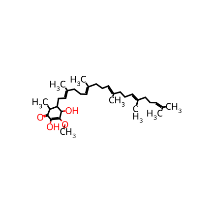 COC1=C(O)C(=O)C(C)C(C/C=C(\C)CC/C=C(\C)CC/C=C(\C)CC/C=C(\C)CCC=C(C)C)C1O